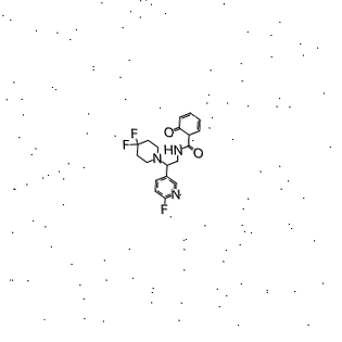 O=C1C=CC=CC1C(=O)NCC(c1ccc(F)nc1)N1CCC(F)(F)CC1